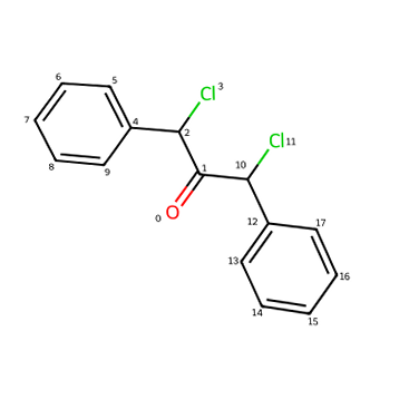 O=C(C(Cl)c1ccccc1)C(Cl)c1ccccc1